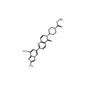 Cc1cn2cc(-c3ccc4c(=O)n(C5CCN(C(=O)OC(C)(C)C)CC5)ccc4n3)cc(C)c2n1